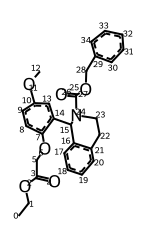 CCOC(=O)COc1ccc(OC)cc1C1c2ccccc2CCN1C(=O)OCc1ccccc1